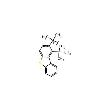 CC(C)(C)c1ccc2sc3ccccc3c2c1C(C)(C)C